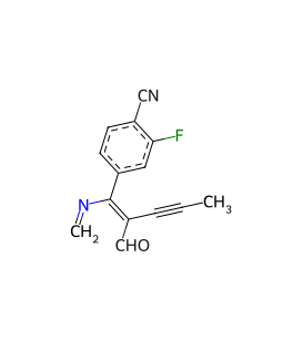 C=N/C(=C(/C#CC)C=O)c1ccc(C#N)c(F)c1